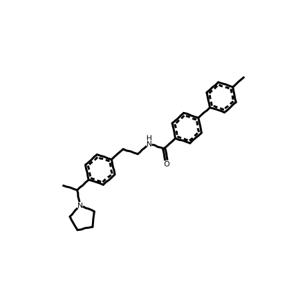 Cc1ccc(-c2ccc(C(=O)NCCc3ccc(C(C)N4CCCC4)cc3)cc2)cc1